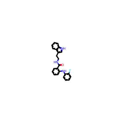 O=C(NCCc1c[nH]c2ccccc12)c1ccccc1Nc1ccccc1F